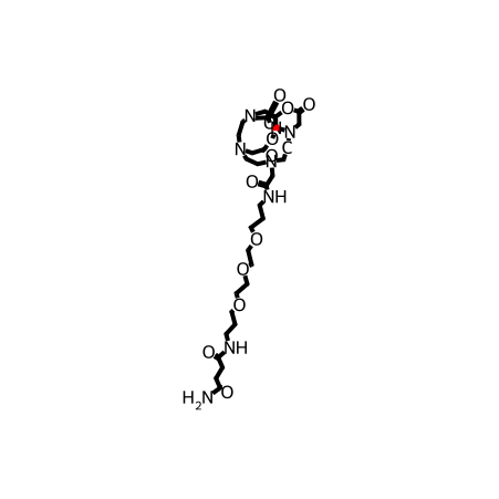 NC(=O)CCC(=O)NCCCOCCOCCOCCCNC(=O)CN1CCN2CCN3CC(=O)ON(OC(=O)C2)C2(C3)CN(CC1)CC(=O)O2